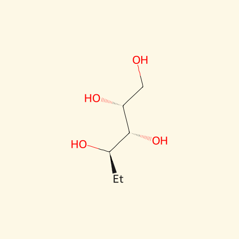 [CH2]C[C@@H](O)[C@@H](O)[C@H](O)CO